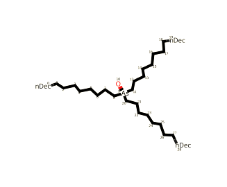 CCCCCCCCCCCCCCCCCC[As](=O)(CCCCCCCCCCCCCCCCCC)CCCCCCCCCCCCCCCCCC